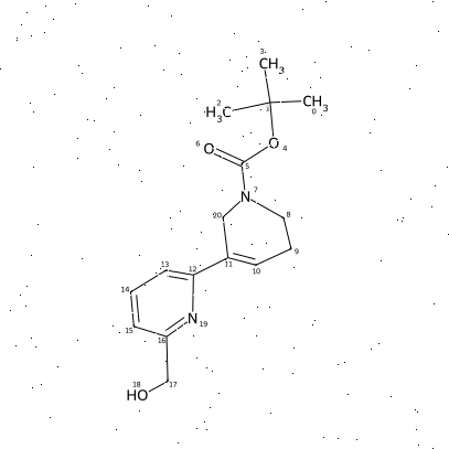 CC(C)(C)OC(=O)N1CCC=C(c2cccc(CO)n2)C1